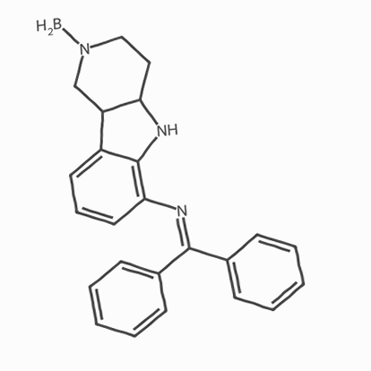 BN1CCC2Nc3c(N=C(c4ccccc4)c4ccccc4)cccc3C2C1